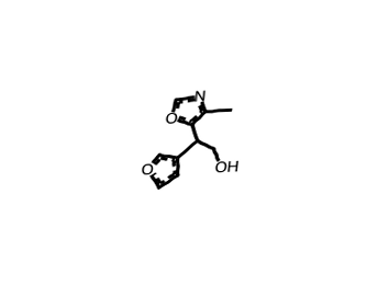 Cc1ncoc1C(CO)c1ccoc1